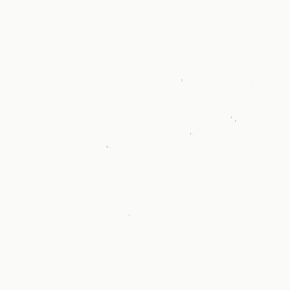 Cc1nc(-c2ccccc2)nc(OCC(=O)N2CC(C)CC(C)C2)c1C